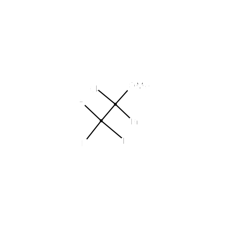 COC(Cl)(Br)C(F)(F)F